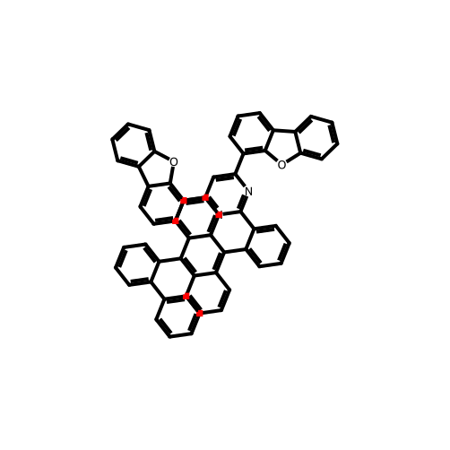 c1ccc(-c2ccccc2-c2c3ccccc3c(-c3ccccc3-c3nc(-c4cccc5c4oc4ccccc45)cc(-c4cccc5c4oc4ccccc45)n3)c3ccccc23)cc1